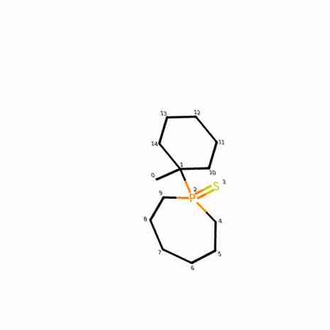 CC1(P2(=S)CCCCCC2)CCCCC1